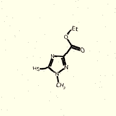 CCOC(=O)c1nc(S)n(C)n1